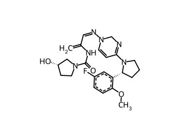 C=C(/C=N\N1C=CC(N2CCC[C@@H]2c2cc(F)ccc2OC)=NC1)NC(=O)N1CC[C@H](O)C1